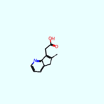 CC1=C(CC(=O)O)c2ncccc2C1